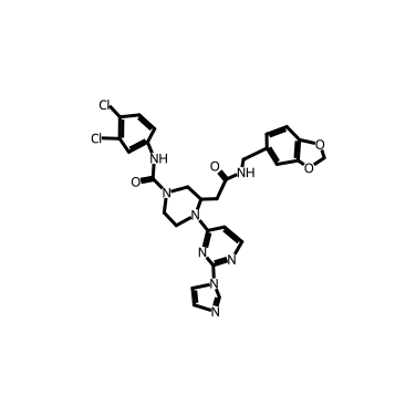 O=C(CC1CN(C(=O)Nc2ccc(Cl)c(Cl)c2)CCN1c1ccnc(-n2ccnc2)n1)NCc1ccc2c(c1)OCO2